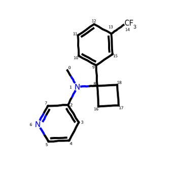 CN(c1cccnc1)C1(c2cccc(C(F)(F)F)c2)CCC1